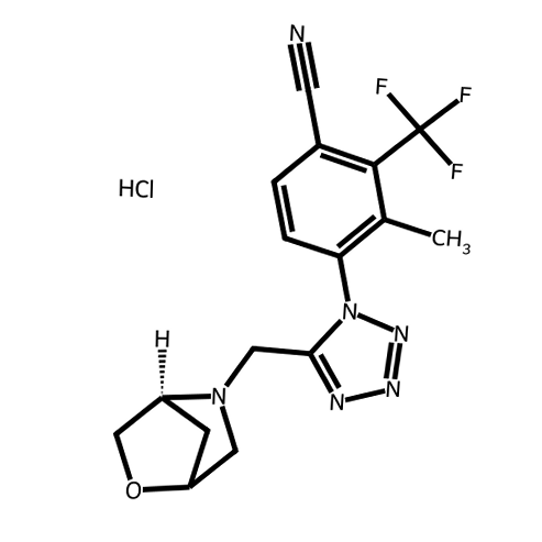 Cc1c(-n2nnnc2CN2CC3C[C@H]2CO3)ccc(C#N)c1C(F)(F)F.Cl